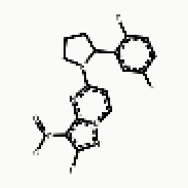 O=[N+]([O-])c1c(F)nn2ccc(N3CCCC3c3cc(F)ccc3F)nc12